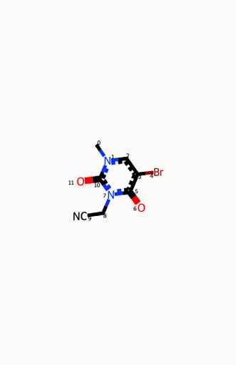 Cn1cc(Br)c(=O)n(CC#N)c1=O